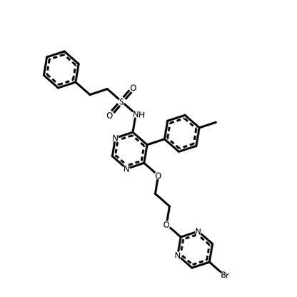 Cc1ccc(-c2c(NS(=O)(=O)CCc3ccccc3)ncnc2OCCOc2ncc(Br)cn2)cc1